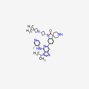 CC(C)n1cnc2cc(-c3ccc4c(c3)N([C@H]3C[C@@H](N5CC(C)(C)C5)C3)C(=O)C43CCNCC3)nc(Nc3ccncc3F)c21